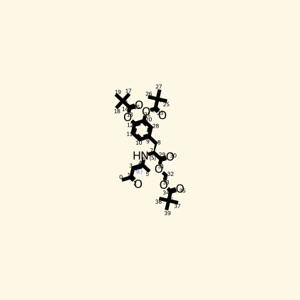 CC(=O)/C=C(\C)N[C@@H](Cc1ccc(OC(=O)C(C)(C)C)c(OC(=O)C(C)(C)C)c1)C(=O)OCOC(=O)C(C)(C)C